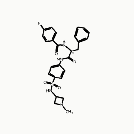 CN1CC(NS(=O)(=O)c2ccc(NC(=O)[C@H](Cc3ccccc3)NC(=O)c3ccc(F)cc3)cc2)C1